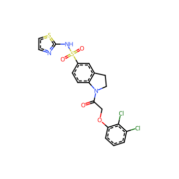 O=C(COc1cccc(Cl)c1Cl)N1CCc2cc(S(=O)(=O)Nc3nccs3)ccc21